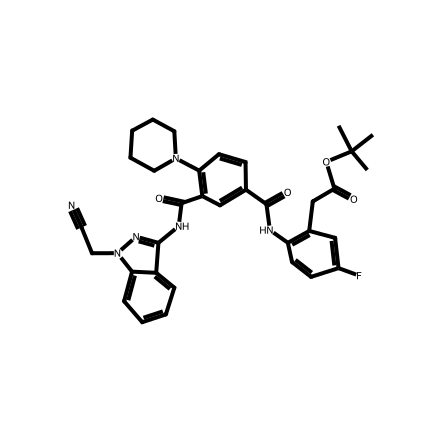 CC(C)(C)OC(=O)Cc1cc(F)ccc1NC(=O)c1ccc(N2CCCCC2)c(C(=O)Nc2nn(CC#N)c3ccccc23)c1